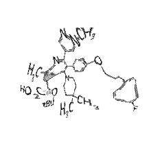 Cc1nc(-c2cnn(C)c2)c(-c2ccc(OCCc3ccc(F)cc3)cc2)c(N2CCC(C)(C)CC2)c1[C@H](OC(C)(C)C)C(=O)O